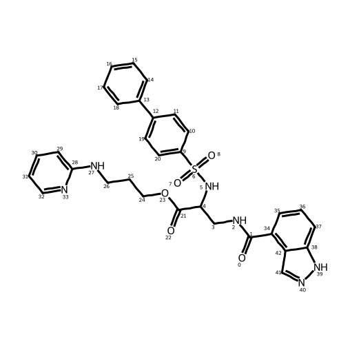 O=C(NCC(NS(=O)(=O)c1ccc(-c2ccccc2)cc1)C(=O)OCCCNc1ccccn1)c1cccc2[nH]ncc12